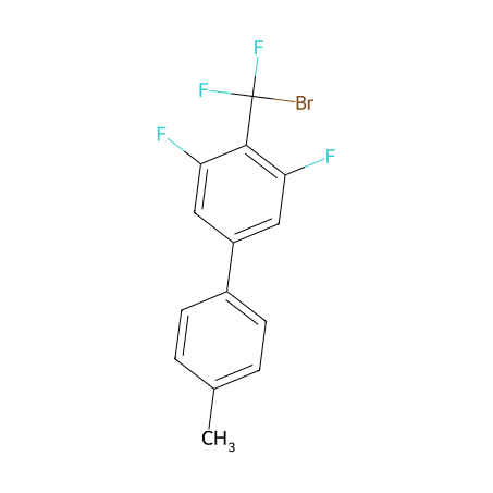 Cc1ccc(-c2cc(F)c(C(F)(F)Br)c(F)c2)cc1